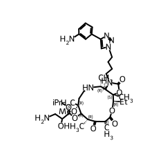 CC[C@H]1OC(=O)[C@H](C)C(=O)[C@H](C)[C@@H](O[C@H](OC(C)C)C(O)CN)[C@](C)(OC)CCN[C@H](C)[C@H]2N(CCCCn3cc(-c4cccc(N)c4)nn3)C(=O)O[C@]12C